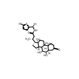 CC[C@@H](NC(=O)C[C@@H](C)[C@H]1CC[C@H]2[C@@H]3[C@H](O)[C@H](O)[C@@H]4CC(=O)CC[C@]4(C)[C@H]3CC[C@]12C)c1ccc(Cl)s1